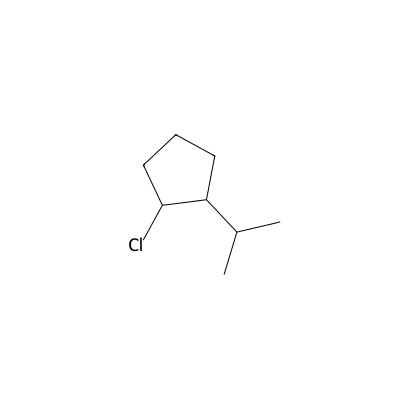 CC(C)C1CCCC1Cl